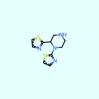 [CH]1CN(c2nccs2)C(c2nccs2)CN1